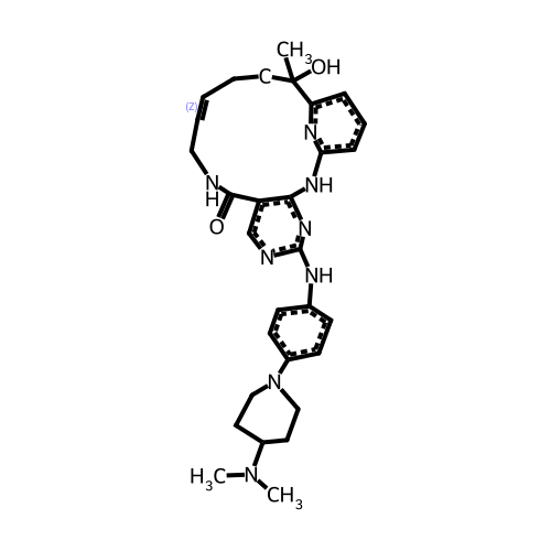 CN(C)C1CCN(c2ccc(Nc3ncc4c(n3)Nc3cccc(n3)C(C)(O)CC/C=C\CNC4=O)cc2)CC1